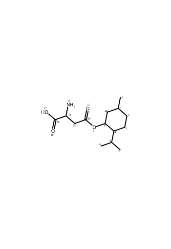 CC1CCC(C(C)C)C(OC(=O)CC(N)C(=O)O)C1